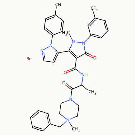 CC(NC(=O)c1c(-c2ccnn2-c2ccc(C#N)cc2)n(C)n(-c2cccc(C(F)(F)F)c2)c1=O)C(=O)N1CC[N+](C)(Cc2ccccc2)CC1.[Br-]